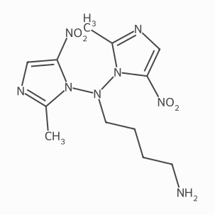 Cc1ncc([N+](=O)[O-])n1N(CCCCN)n1c([N+](=O)[O-])cnc1C